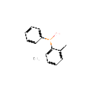 B.Cc1ccccc1P(O)c1ccccc1